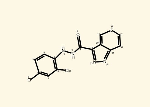 O=C(NNc1ccc(Cl)cc1Cl)c1nnc2ccscc1-2